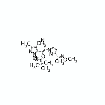 CON=C(C)c1ccn(C(C#N)=C(OC(=O)C(C)(C)C)c2c(C)c(C)nn2C)n1